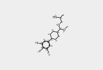 COC(OCC(C)S)C1CCC(c2cc(F)c(F)c(F)c2)CC1